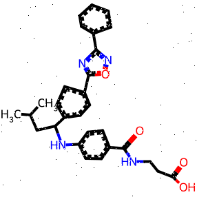 CC(C)CC(Nc1ccc(C(=O)NCCC(=O)O)cc1)c1ccc(-c2nc(-c3ccccc3)no2)cc1